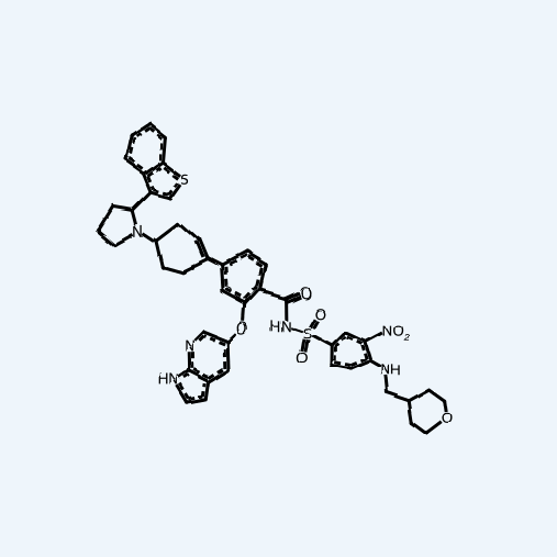 O=C(NS(=O)(=O)c1ccc(NCC2CCOCC2)c([N+](=O)[O-])c1)c1ccc(C2=CCC(N3CCCC3c3csc4ccccc34)CC2)cc1Oc1cnc2[nH]ccc2c1